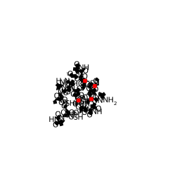 CC[C@H]1O[C@@H](n2cc(C)c(N)nc2=O)C[C@H]1OP(=O)(S)OC[C@H]1O[C@@H](n2cc(C)c(=O)[nH]c2=O)C[C@H]1OP(=O)(S)OC[C@H]1O[C@@H](n2cc(C)c(=O)[nH]c2=O)C(OCCOC)[C@H]1OP(=O)(O)OC[C@H]1O[C@@H](n2cc(C)c(N)nc2=O)C(OCCOC)[C@H]1OP(=O)(S)OC[C@H]1O[C@@H](n2cc(C)c(N)nc2=O)C(OCCOC)[C@H]1OP(=O)(S)OC[C@H]1O[C@@H](n2cc(C)c(=O)[nH]c2=O)C(OCCOC)[C@H]1O